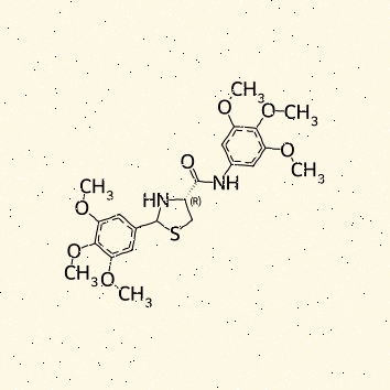 COc1cc(NC(=O)[C@@H]2CSC(c3cc(OC)c(OC)c(OC)c3)N2)cc(OC)c1OC